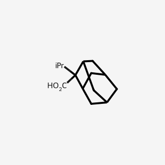 CC(C)C1(C(=O)O)C2CC3CC(C2)CC1C3